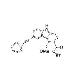 COCc1c(C(=O)OC(C)C)ncc2[nH]c3ccc(C#Cc4ccccn4)cc3c12